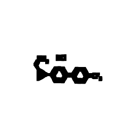 Cl.NC[C@@H]1C[C@H]1c1ccc(-c2ccc(C(F)(F)F)cc2)cc1